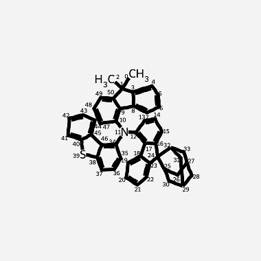 CC1(C)c2ccccc2-c2c(N(c3cccc4c3-c3ccccc3C43C4CC5CC(C4)CC3C5)c3cccc4sc5ccccc5c34)cccc21